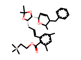 Cc1cc(C)c(C(=O)OCC[Si](C)(C)C)c(/C=C/C[C@@H]2OC(C)(C)O[C@@H]2C(O)/C=C\C(Cc2ccccc2)C(C)C)c1